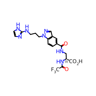 O=C(NC[C@H](NC(=O)C(F)(F)F)C(=O)O)c1ccc2c(cnn2CCCNc2ncc[nH]2)c1